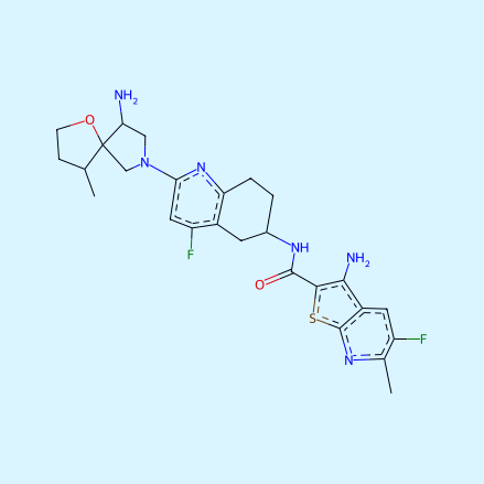 Cc1nc2sc(C(=O)NC3CCc4nc(N5CC(N)C6(C5)OCCC6C)cc(F)c4C3)c(N)c2cc1F